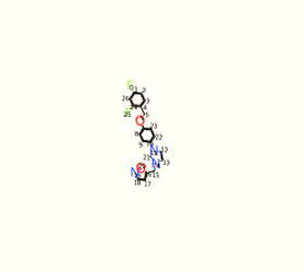 Fc1ccc(COc2ccc(N3C=CN(Cc4ccno4)C3)cc2)c(F)c1